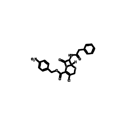 O=C(Cc1ccccc1)N[C@@H]1C(=O)N2C(C(=O)OCc3ccc([N+](=O)[O-])cc3)=C(Cl)CS[C@@H]12